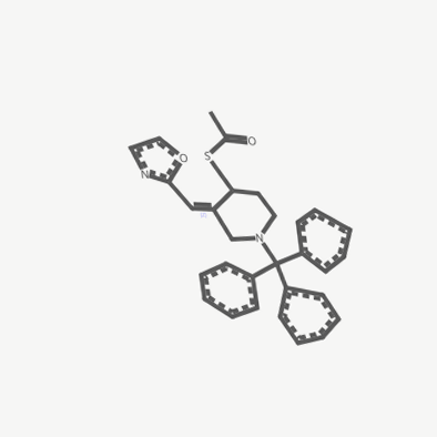 CC(=O)SC1CCN(C(c2ccccc2)(c2ccccc2)c2ccccc2)C/C1=C/c1ncco1